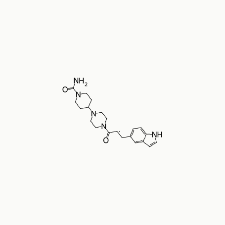 NC(=O)N1CCC(N2CCN(C(=O)[CH]Cc3ccc4[nH]ccc4c3)CC2)CC1